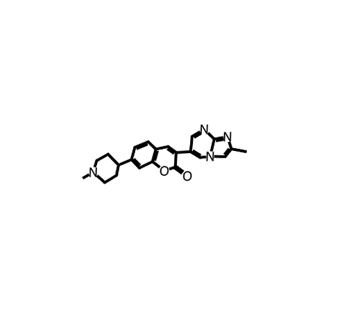 Cc1cn2cc(-c3cc4ccc(C5CCN(C)CC5)cc4oc3=O)cnc2n1